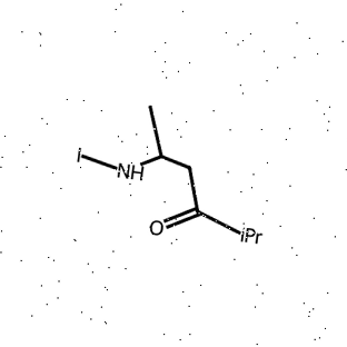 CC(CC(=O)C(C)C)NI